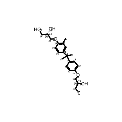 Cc1cc(C(C)(C)c2ccc(OC[C@@H](O)CCl)cc2)ccc1OC[C@@H](O)CO